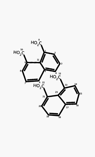 O=C(O)c1cccc2cccc(C(=O)O)c12.O=C(O)c1cccc2cccc(C(=O)O)c12